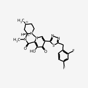 C[C@H]1CCN2[C@@H](C1)N(C)C(=O)c1c(O)c(=O)c(-c3nnc(Cc4ccc(F)cc4F)s3)cn12